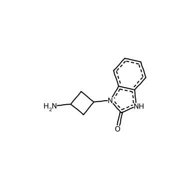 NC1CC(n2c(=O)[nH]c3ccccc32)C1